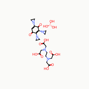 O=C(O)CN(CCN(CC(=O)O)CC(=O)O)CC(=O)O.O=C1C=C(N2CC2)C(=O)C(N2CC2)=C1N1CC1.OB(O)O